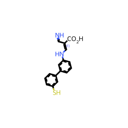 N=C/C(=C\Nc1cccc(-c2cccc(S)c2)c1)C(=O)O